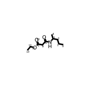 CCCC(C)NC(=O)CC(=O)OCC